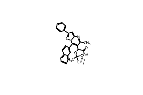 Cc1nc2cc(-c3ccccc3)nn2c(-c2ccc3ccccc3c2)c1C(OC(C)(C)C)C(=O)O